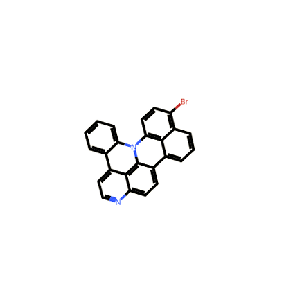 Brc1ccc2c3c(cccc13)-c1ccc3nccc4c3c1N2c1ccccc1-4